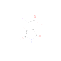 O=C(O)CI.O=C1CC(O)C(=O)N1